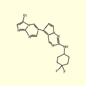 CCc1cnc2ncc(-c3ccn4nc(NC5CCC(F)(F)CC5)ncc34)cn12